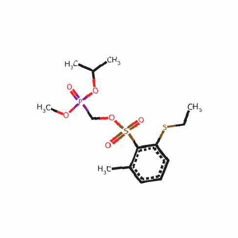 CCSc1cccc(C)c1S(=O)(=O)OCP(=O)(OC)OC(C)C